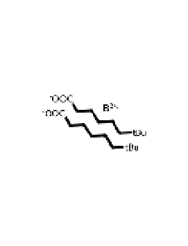 CC(C)(C)CCCCCC(=O)[O-].CC(C)(C)CCCCCC(=O)[O-].[B+2]